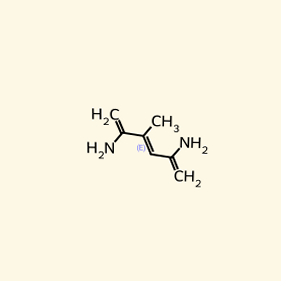 C=C(N)/C=C(\C)C(=C)N